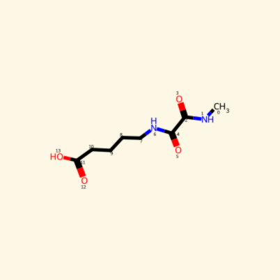 CNC(=O)C(=O)NCCCCC(=O)O